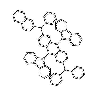 c1ccc(N(c2ccccc2)c2ccc3c(-n4c5ccccc5c5ccccc54)c4cc(N(c5ccccc5)c5ccc6ccccc6c5)ccc4c(-n4c5ccccc5c5ccccc54)c3c2)cc1